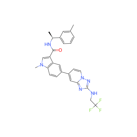 Cc1cccc([C@H](C)NC(=O)c2cn(C)c3ccc(-c4ccn5nc(NCC(F)(F)F)nc5c4)cc23)c1